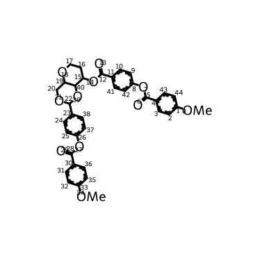 COc1ccc(C(=O)Oc2ccc(C(=O)OC3CCOC4COC(c5ccc(OC(=O)c6ccc(OC)cc6)cc5)OC43)cc2)cc1